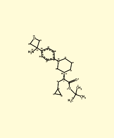 CC(C)(C)OC(=O)N(CC1CC1)[C@@H]1CCCN(c2ccc(C3(N)COC3)nc2)C1